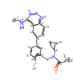 CCCCC(=O)N(Cc1cc(-c2ccc3ncnc(NC(C)(C)C)c3c2)ccc1F)C1CC1